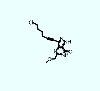 COCc1nc2c(C#CCCCCCl)n[nH]c2c(=O)[nH]1